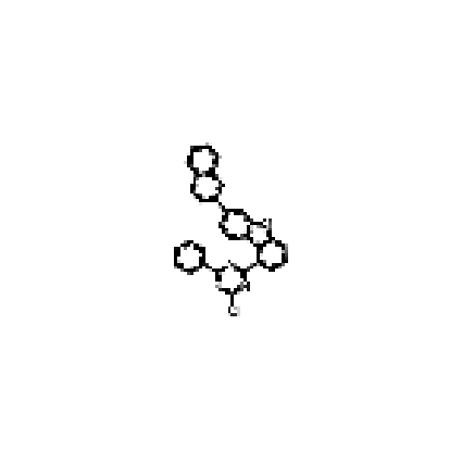 Clc1nc(-c2ccccc2)nc(-c2cccc3oc4cc(-c5ccc6ccccc6c5)ccc4c23)n1